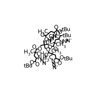 CC(C)(C)OC(=O)C(CC(C)(C)C(=O)OCC(COC(=O)C(C)(C)CC(N=[N+]=[N-])C(=O)OC(C)(C)C)(COC(=O)C(C)(C)CC(N=[N+]=[N-])C(=O)OC(C)(C)C)COC(=O)C(C)(C)CC(N=[N+]=[N-])C(=O)C(C)(C)C)N=[N+]=[N-]